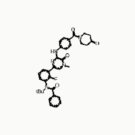 Cn1cc(-c2cccc(N(C(=O)c3ccccc3)C(C)(C)C)c2F)nc(Nc2ccc(C(=O)N3CCC(=O)CC3)cc2)c1=O